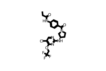 CCC(=O)Nc1ccc(C(=O)N2CC[C@@H](Nc3ncc(Cl)c(OCC(F)(F)F)n3)C2)cc1